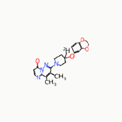 [2H]C1(Oc2ccc3c(c2)OCCO3)CCN(c2nn3c(=O)ccnc3c(C)c2C)CC1